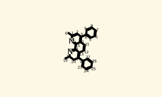 Cc1cc(-c2ccccc2)c2ccc3c(c2n1)=NC(C)CC=3c1ccccc1